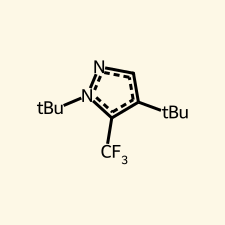 CC(C)(C)c1cnn(C(C)(C)C)c1C(F)(F)F